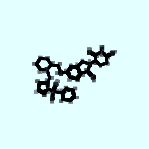 O=C1CCC(N2Cc3cc(OCC4CCCCN4Cc4cccn4S(=O)(=O)c4ccccc4)ccc3C2=O)C(=O)N1